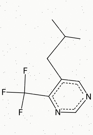 CC(C)Cc1cncnc1C(F)(F)F